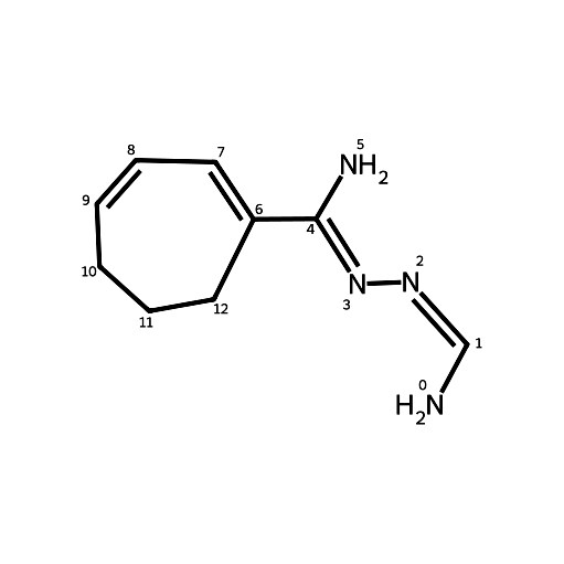 N/C=N\N=C(/N)C1=CC=CCCC1